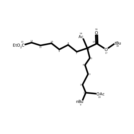 CCCCC(CCCCC(CCCCCCC(=O)OCC)(C(C)=O)C(=O)OC(C)(C)C)OC(C)=O